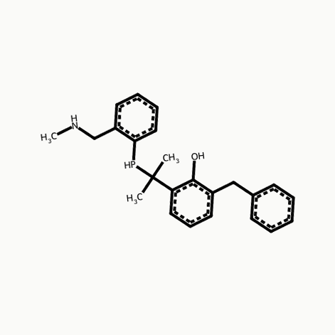 CNCc1ccccc1PC(C)(C)c1cccc(Cc2ccccc2)c1O